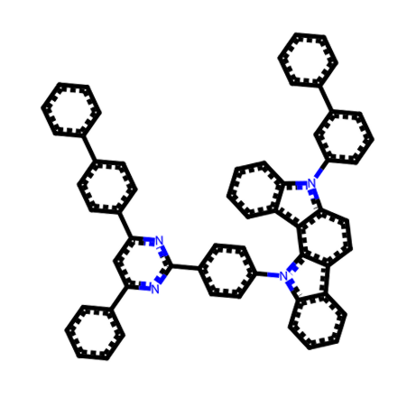 c1ccc(-c2ccc(-c3cc(-c4ccccc4)nc(-c4ccc(-n5c6ccccc6c6ccc7c(c8ccccc8n7-c7cccc(-c8ccccc8)c7)c65)cc4)n3)cc2)cc1